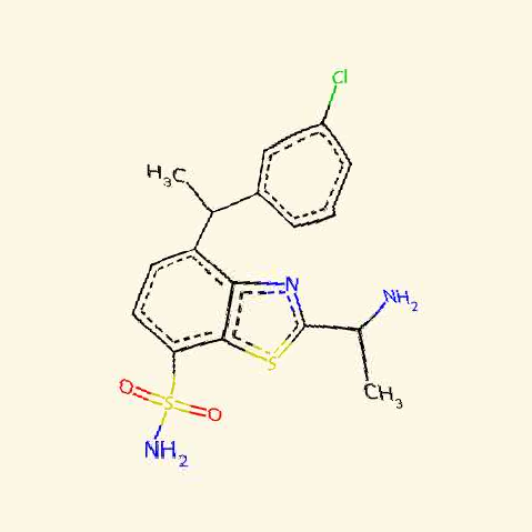 CC(N)c1nc2c(C(C)c3cccc(Cl)c3)ccc(S(N)(=O)=O)c2s1